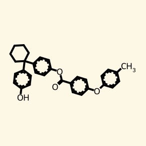 Cc1ccc(Oc2ccc(C(=O)Oc3ccc(C4(c5ccc(O)cc5)CCCCC4)cc3)cc2)cc1